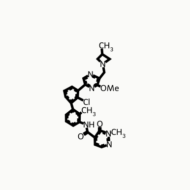 COc1nc(-c2cccc(-c3cccc(NC(=O)c4ccnn(C)c4=O)c3C)c2Cl)cnc1CN1CC(C)C1